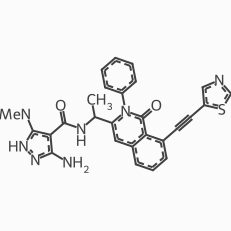 CNc1[nH]nc(N)c1C(=O)NC(C)c1cc2cccc(C#Cc3cncs3)c2c(=O)n1-c1ccccc1